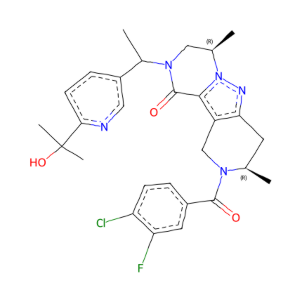 CC(c1ccc(C(C)(C)O)nc1)N1C[C@@H](C)n2nc3c(c2C1=O)CN(C(=O)c1ccc(Cl)c(F)c1)[C@H](C)C3